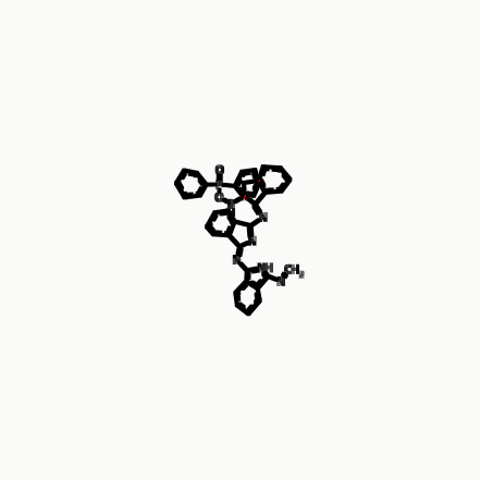 C=Nc1[nH]c(/N=C2N=C(/N=C3/c4ccccc4CN3BOP(=O)(c3ccccc3)c3ccccc3)c3ccccc3\2)c2ccccc12